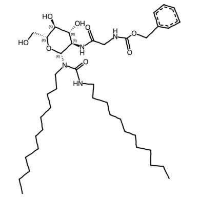 CCCCCCCCCCCCNC(=O)N(CCCCCCCCCCCC)[C@@H]1O[C@H](CO)[C@@H](O)[C@H](O)[C@H]1NC(=O)CNC(=O)OCc1ccccc1